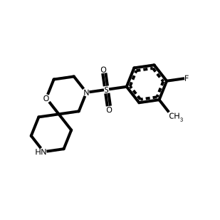 Cc1cc(S(=O)(=O)N2CCOC3(CCNCC3)C2)ccc1F